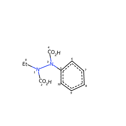 CCN(C(=O)O)N(C(=O)O)c1ccccc1